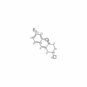 O=C1CCC(Cl)CC1=Cc1ccc(F)cc1